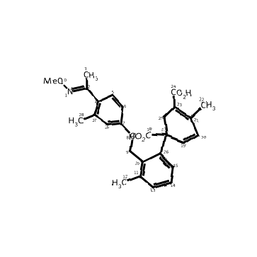 CON=C(C)c1ccc(OCc2c(C)cccc2C2(C(=O)O)C=CC(C)=C(C(=O)O)C2)cc1C